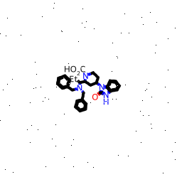 CCC(C1CC(n2c(=O)[nH]c3ccccc32)CCN1C(=O)O)N(Cc1ccccc1)Cc1ccccc1